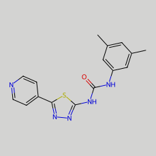 Cc1cc(C)cc(NC(=O)Nc2nnc(-c3ccncc3)s2)c1